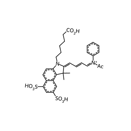 CC(=O)/[N+](=C/C=C/C=C1/N(CCCCCC(=O)O)c2ccc3c(S(=O)(=O)O)cc(S(=O)(=O)O)cc3c2C1(C)C)c1ccccc1